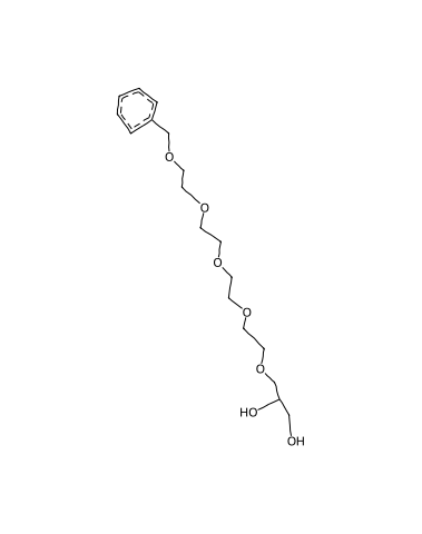 OCC(O)COCCOCCOCCOCCOCc1ccccc1